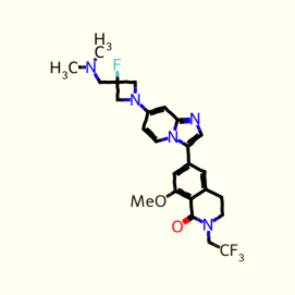 COc1cc(-c2cnc3cc(N4CC(F)(CN(C)C)C4)ccn23)cc2c1C(=O)N(CC(F)(F)F)CC2